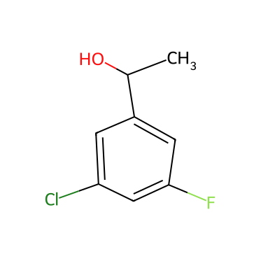 CC(O)c1cc(F)cc(Cl)c1